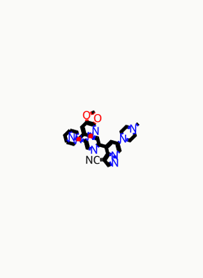 CN1CCN(c2cc(-c3cnc(N4CC5CC(C4)N5Cc4cnc5c(c4)OCO5)cn3)c3c(C#N)cnn3c2)CC1